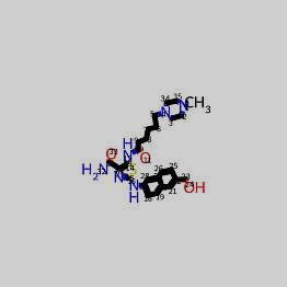 CN1CCN(CCCCCC(=O)Nc2sc(Nc3ccc4cc(CO)ccc4c3)nc2C(N)=O)CC1